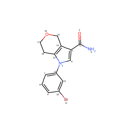 NC(=O)c1cn(-c2cccc(Br)c2)c2c1COCC2